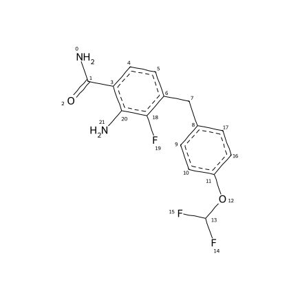 NC(=O)c1ccc(Cc2ccc(OC(F)F)cc2)c(F)c1N